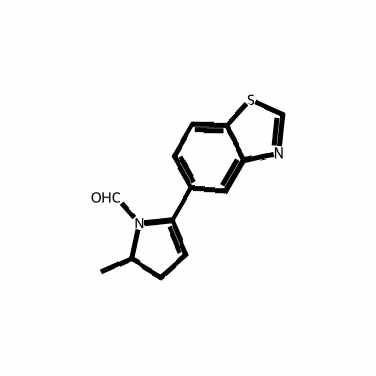 CC1CC=C(c2ccc3scnc3c2)N1C=O